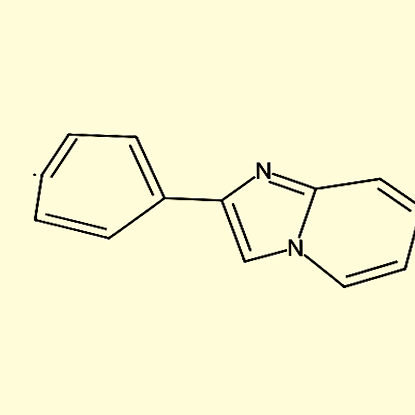 [c]1ccc(-c2cn3ccccc3n2)cc1